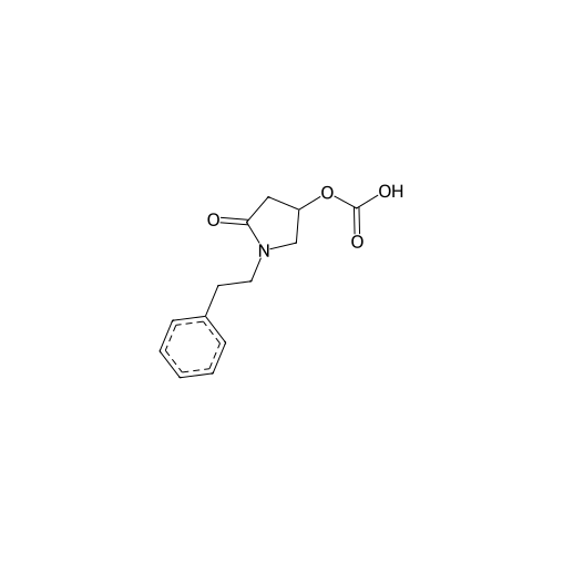 O=C(O)OC1CC(=O)N(CCc2ccccc2)C1